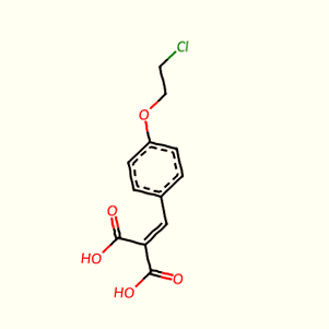 O=C(O)C(=Cc1ccc(OCCCl)cc1)C(=O)O